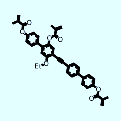 C=C(C)C(=O)Oc1ccc(-c2ccc(C#Cc3cc(OC(=O)C(=C)C)c(-c4ccc(OC(=O)C(=C)C)cc4)cc3OCC)cc2)cc1